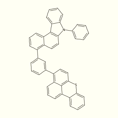 c1ccc(-n2c3ccccc3c3c4cccc(-c5cccc(-c6ccc7c8c(cccc68)-c6ccccc6S7)c5)c4ccc32)cc1